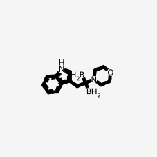 BC(B)(Cc1c[nH]c2ccccc12)N1CCOCC1